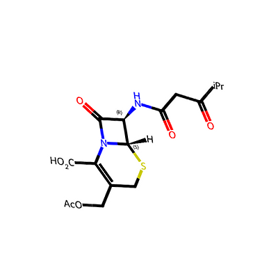 CC(=O)OCC1=C(C(=O)O)N2C(=O)[C@@H](NC(=O)CC(=O)C(C)C)[C@@H]2SC1